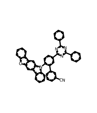 N#Cc1cccc(-c2cc(-c3nc(-c4ccccc4)nc(-c4ccccc4)n3)ccc2-n2c3ccccc3c3cc4oc5ccccc5c4cc32)c1